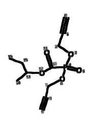 C#CCOP(=O)(OCC#C)C(=O)OC(C)CC